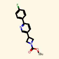 CC(C)(C)OC(=O)N1CC(c2ccc(-c3ccc(F)cc3)nc2)C1